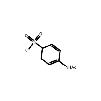 CC(=O)NC1=CCC(S(=O)(=O)Cl)C=C1